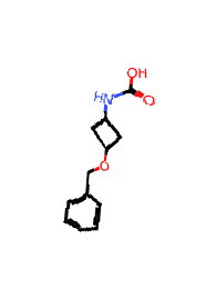 O=C(O)NC1CC(OCc2ccccc2)C1